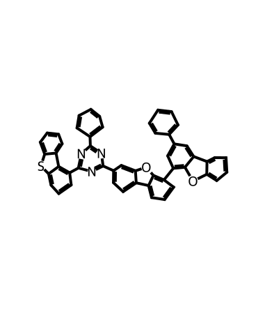 c1ccc(-c2cc(-c3cccc4c3oc3cc(-c5nc(-c6ccccc6)nc(-c6cccc7sc8ccccc8c67)n5)ccc34)c3oc4ccccc4c3c2)cc1